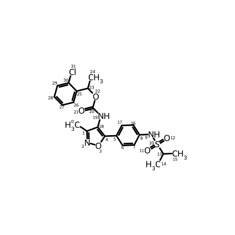 Cc1noc(-c2ccc(NS(=O)(=O)C(C)C)cc2)c1NC(=O)OC(C)c1ccccc1Cl